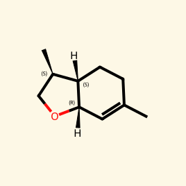 CC1=C[C@@H]2OC[C@@H](C)[C@@H]2CC1